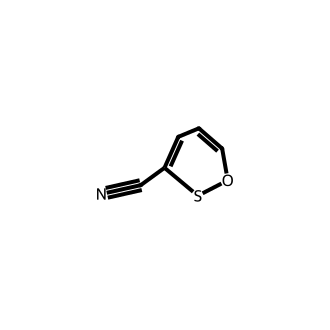 N#CC1=CC=COS1